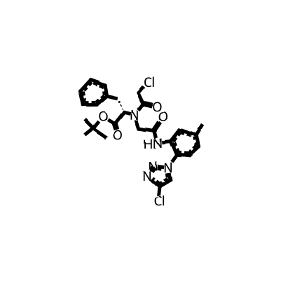 Cc1ccc(-n2cc(Cl)nn2)c(NC(=O)CN(C(=O)CCl)[C@@H](Cc2ccccc2)C(=O)OC(C)(C)C)c1